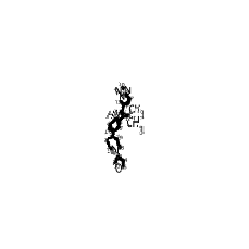 CC(C)c1c(-c2ccc3ncnn3c2)[nH]c2ccc(C3CCN(C4CCOC4)CC3)cc12